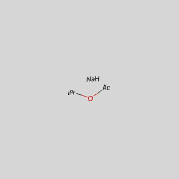 CC(=O)OC(C)C.[NaH]